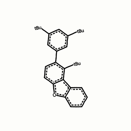 CC(C)(C)c1cc(-c2ccc3oc4ccccc4c3c2C(C)(C)C)cc(C(C)(C)C)c1